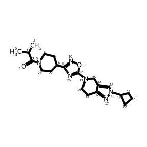 CC(C)C(=O)N1CCC(c2noc(N3CCc4nn(C5CCC5)cc4C3)n2)CC1